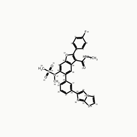 CNC(=O)c1c(-c2ccc(F)cc2)oc2cc(N(C)S(C)(=O)=O)c(-c3cccc(-c4cn5ccsc5n4)c3)cc12